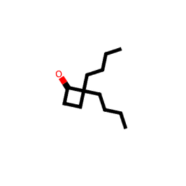 CCCCC1(CCCC)CCC1=O